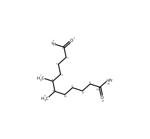 [3H]C(=O)CCCC(C)C(C)CCCCC(=O)CCC